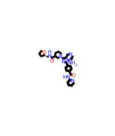 N[N+]12C=CN=CC1=C(N1CCCC(C(=O)NC[C@@H]3CCCO3)C1)N=C2c1ccc(C(=O)Nc2ccccn2)cc1